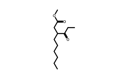 CCCCCCC(CC(=O)OC)C(=O)CC